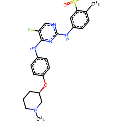 Cc1ccc(Nc2ncc(F)c(Nc3ccc(O[C@@H]4CCCN(C)C4)cc3)n2)cc1S(N)(=O)=O